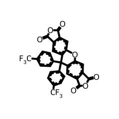 O=C1OC(=O)c2cc3c(cc21)Oc1cc2c(cc1C3(c1ccc(C(F)(F)F)cc1)c1ccc(C(F)(F)F)cc1)C(=O)OC2=O